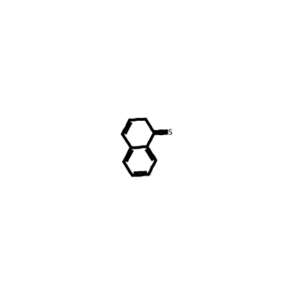 S=C1CC=Cc2cc[c]cc21